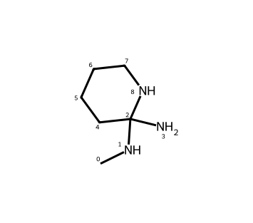 CNC1(N)CCCCN1